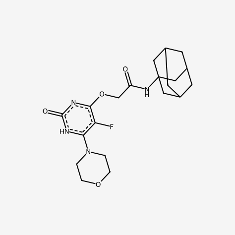 O=C(COc1nc(=O)[nH]c(N2CCOCC2)c1F)NC12CC3CC(CC(C3)C1)C2